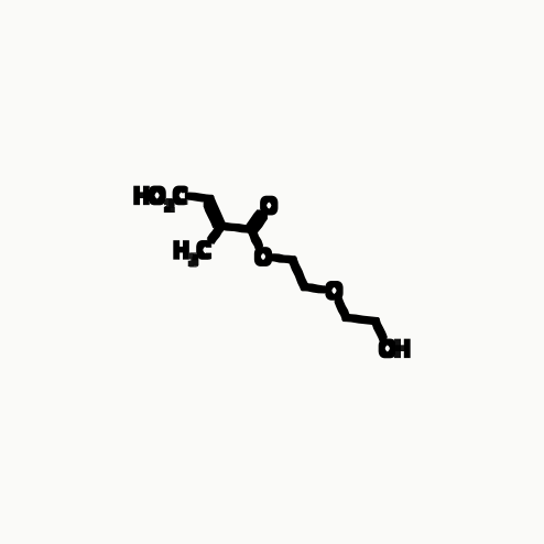 C/C(=C\C(=O)O)C(=O)OCCOCCO